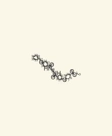 CCOC(=O)[C@H]1CC[C@@H](Oc2ccc(C(=O)NCCNC(=O)c3ccc(OCc4ccccc4)cc3)cc2)CC1